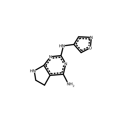 Nc1nc(Nc2cnoc2)nc2c1CCN2